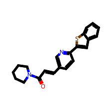 O=C(C=Cc1ccc(-c2cc3ccccc3s2)nc1)N1CCCCC1